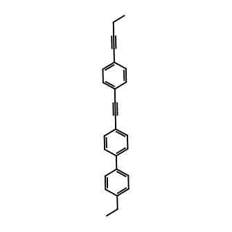 CCC#Cc1ccc(C#Cc2ccc(-c3ccc(CC)cc3)cc2)cc1